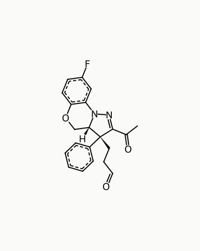 CC(=O)C1=NN2c3cc(F)ccc3OC[C@H]2[C@@]1(CCC=O)c1ccccc1